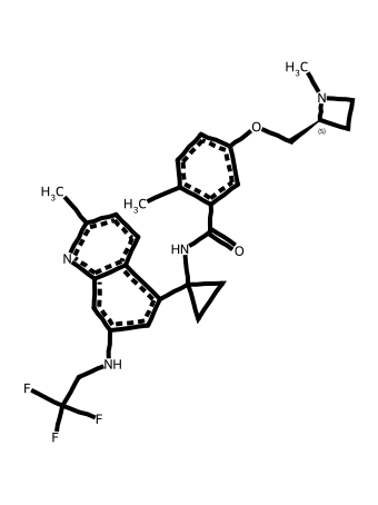 Cc1ccc2c(C3(NC(=O)c4cc(OC[C@@H]5CCN5C)ccc4C)CC3)cc(NCC(F)(F)F)cc2n1